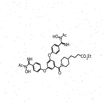 CCOC(=O)CCCC1CCN(C(=O)c2cc(Oc3ccc(C(=N)N(O)C(C)=O)cc3)cc(Oc3ccc(C(=N)N(O)C(C)=O)cc3)c2)CC1